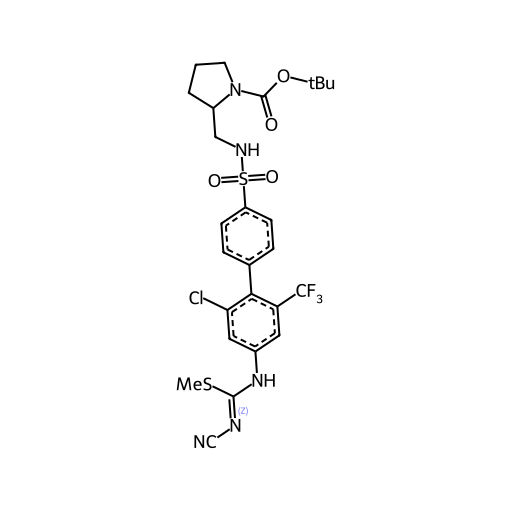 CS/C(=N\C#N)Nc1cc(Cl)c(-c2ccc(S(=O)(=O)NCC3CCCN3C(=O)OC(C)(C)C)cc2)c(C(F)(F)F)c1